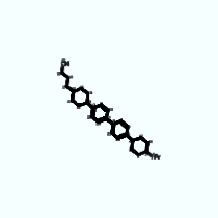 CCCC1CCC(c2ccc(-c3ccc(C4CCC(CCCC#N)CC4)cc3)cc2)CC1